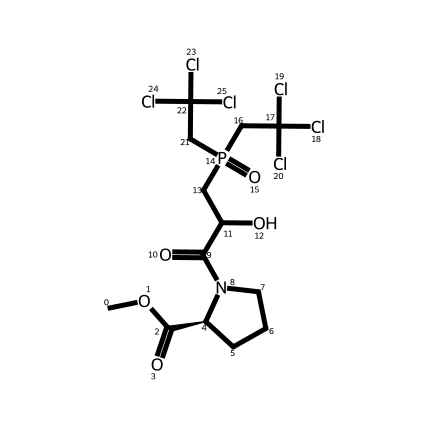 COC(=O)[C@@H]1CCCN1C(=O)C(O)CP(=O)(CC(Cl)(Cl)Cl)CC(Cl)(Cl)Cl